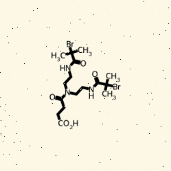 CC(C)(Br)C(=O)NCCN(CCNC(=O)C(C)(C)Br)C(=O)CCC(=O)O